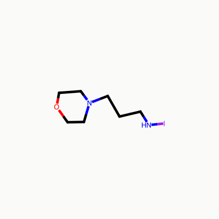 INCCCN1CCOCC1